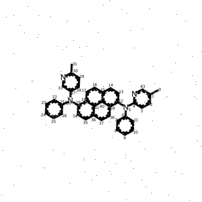 Cc1ccc(N(c2ccccc2)c2ccc3ccc4c(N(c5ccccc5)c5ccc(C)nc5)ccc5ccc2c3c54)nc1